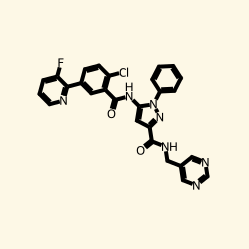 O=C(NCc1cncnc1)c1cc(NC(=O)c2cc(-c3ncccc3F)ccc2Cl)n(-c2ccccc2)n1